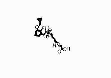 C[C@H](NS(=O)(=O)CCCCCNCC(=O)O)c1cccc(OCC2CC2)c1F